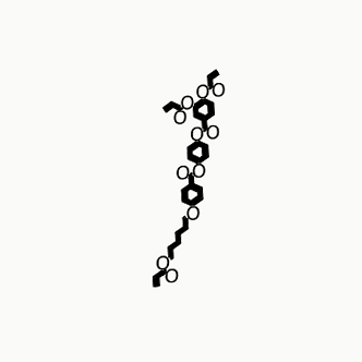 C=CC(=O)OCCCCCCOc1ccc(C(=O)Oc2ccc(OC(=O)c3ccc(OC(=O)C=C)c(OC(=O)C=C)c3)cc2)cc1